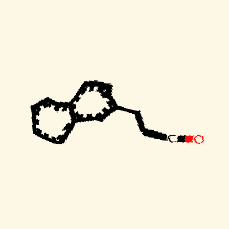 O=C=CCc1ccc2ccccc2c1